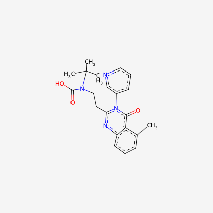 Cc1cccc2nc(CCN(C(=O)O)C(C)(C)C)n(-c3cccnc3)c(=O)c12